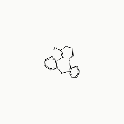 NC1=C2c3ccccc3Oc3ccccc3N2C=CC1